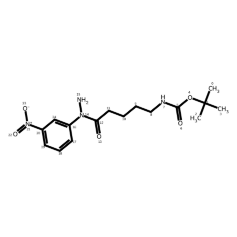 CC(C)(C)OC(=O)NCCCCC(=O)N(N)c1cccc([N+](=O)[O-])c1